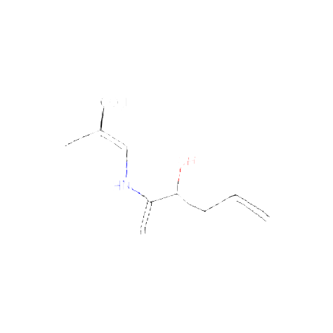 C=CC[C](O)C(=C)NC=C(C)C(=O)O